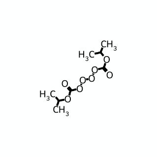 CC(C)OC(=O)OOOOC(=O)OC(C)C